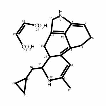 CC1=CC2=C3CCC=C4NCC(=C43)CC2C(CC2CC2)N1.O=C(O)/C=C\C(=O)O